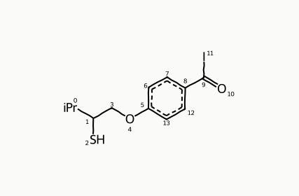 CC(C)C(S)COc1ccc(C(=O)I)cc1